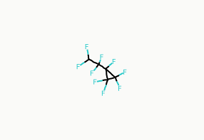 FC(F)C(F)(F)C1(F)C(F)(F)C1(F)F